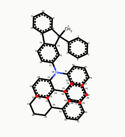 CC1(c2ccccc2)c2ccccc2-c2ccc(N(c3ccccc3-c3cccc4cccc(C5CCCCC5)c34)c3cccc4ccccc34)cc21